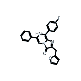 O=c1c(Cc2ccco2)nc2c(-c3ccc(F)cc3)[nH]c(-c3ccccc3)cn1-2